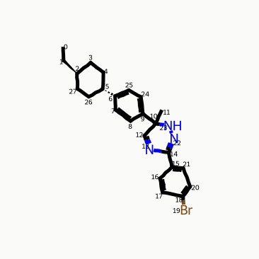 CC[C@H]1CC[C@H](c2ccc(C3(C)C=NC(c4ccc(Br)cc4)=NN3)cc2)CC1